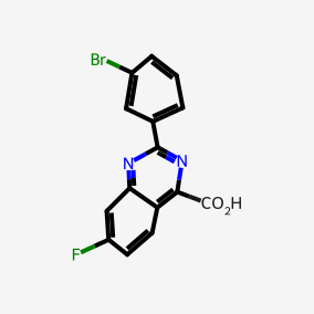 O=C(O)c1nc(-c2cccc(Br)c2)nc2cc(F)ccc12